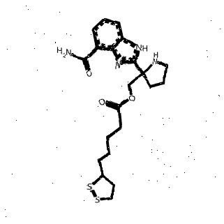 NC(=O)c1cccc2[nH]c(C3(COC(=O)CCCCC4CCSS4)CCCN3)nc12